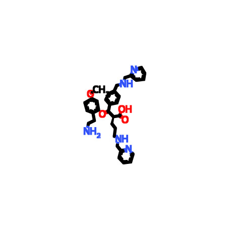 COc1ccc(CCN)cc1.O=C(O)[C@@H](CCCNCc1ccccn1)C(=O)c1ccc(CNCc2ccccn2)cc1